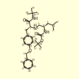 CC(C)C[C@H](CN[C@@H](Cc1ccc(OCc2ccccc2)cc1)C(=O)NC(C)(C)C)NC(=O)OC(C)(C)C